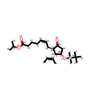 C/C=C(\C)[C@H]1[C@H](O[Si](C)(C)C(C)(C)C)CC(=O)[C@@H]1C/C=C\CCCC(=O)OC(C)C